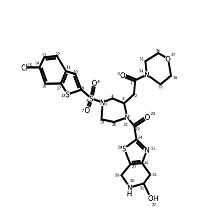 O=C(CC1CN(S(=O)(=O)c2cc3ccc(Cl)cc3s2)CCN1C(=O)c1nc2c(s1)CNC(O)C2)N1CCOCC1